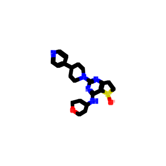 [O-][S+]1CCc2nc(N3CCC(c4ccncc4)CC3)nc(NC3CCOCC3)c21